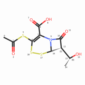 CC(=O)SC1=C(C(=O)O)N2C(=O)[C@H]([C@@H](C)O)C2SS1